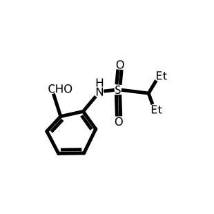 CCC(CC)S(=O)(=O)Nc1ccccc1C=O